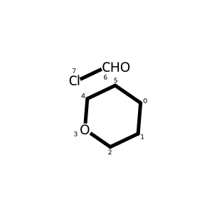 C1CCOCC1.O=CCl